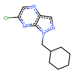 Clc1cnc2cnn(CC3CCCCC3)c2n1